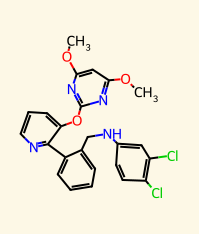 COc1cc(OC)nc(Oc2cccnc2-c2ccccc2CNc2ccc(Cl)c(Cl)c2)n1